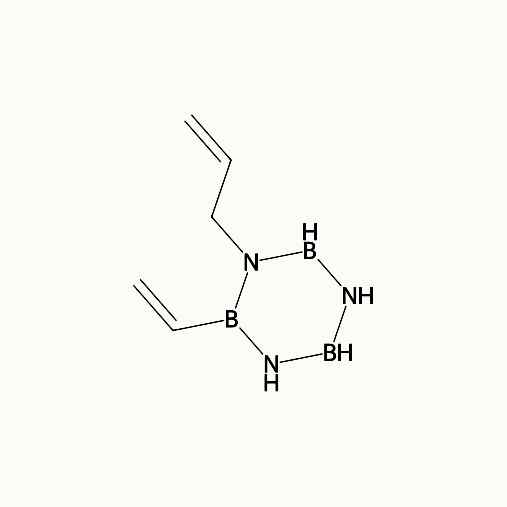 C=CCN1BNBNB1C=C